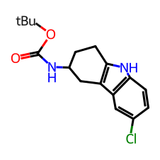 CC(C)(C)OC(=O)NC1CCc2[nH]c3ccc(Cl)cc3c2C1